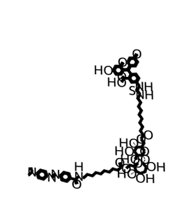 CN(C)c1ccc(/N=N/c2ccc(C(=O)NCCCCCCCCCC(=O)OCC3O[C@H](O[C@H]4OC(COC(=O)CCCCCCCCCNC(=S)Nc5ccc(-c6c7ccc(=O)cc-7oc7cc(O)ccc67)c(C(=O)O)c5)[C@@H](O)C(O)C4O)C(O)CC(O)[C@@H]3O)cc2)cc1